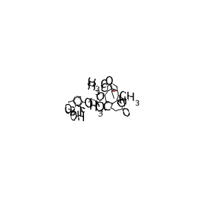 C[C@@H]1CC[C@@]23CCC(=O)C2[C@]1(C)[C@H](OC(=O)COc1ccc2c(c1F)B(O)OC2)C[C@@]1(C)CCC(=O)O[C@H]1[C@@H]3C